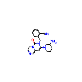 N#Cc1ccccc1CN1C(=O)N2CC=NC=C2C=C1N1CCCC(N)C1